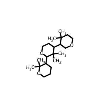 CC1(C)CCOCC1C1CCOC(C2CCCOC2(C)C)C1(C)C